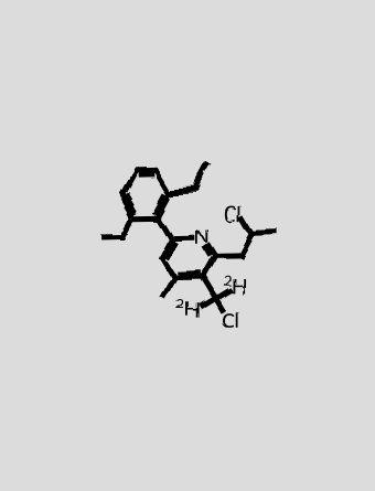 [2H]C([2H])(Cl)c1c(C)cc(-c2c(CC)cccc2CC)nc1CC(C)Cl